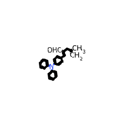 C=C(C)C/C(C=O)=C/c1ccc(N(c2ccccc2)c2ccccc2)cc1